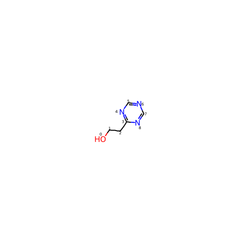 OCCc1ncncn1